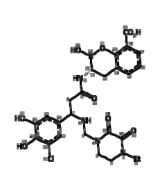 CCN1CCN(CNC(CC(=O)N[C@H]2Cc3cccc(C(=O)O)c3OB2O)c2cc(O)c(O)c(Cl)c2)C(=O)C1=O